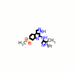 Cc1c(Nc2nc3cc(S(C)(=O)=O)ccc3c3cn[nH]c23)cnn1C(C)C